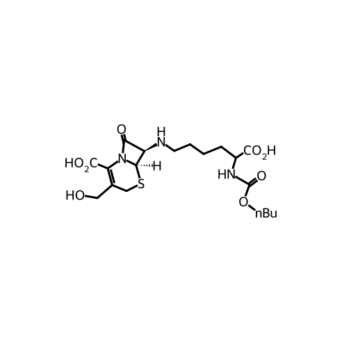 CCCCOC(=O)NC(CCCCN[C@@H]1C(=O)N2C(C(=O)O)=C(CO)CS[C@H]12)C(=O)O